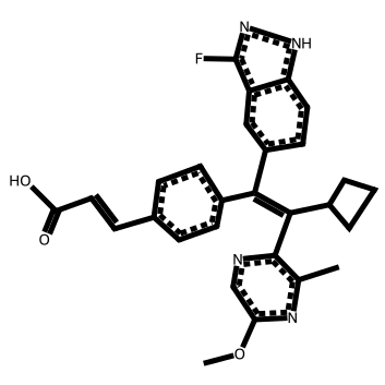 COc1cnc(/C(=C(\c2ccc(/C=C/C(=O)O)cc2)c2ccc3[nH]nc(F)c3c2)C2CCC2)c(C)n1